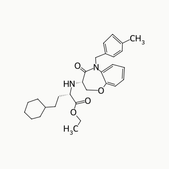 CCOC(=O)[C@H](CCC1CCCCC1)N[C@H]1COc2ccccc2N(Cc2ccc(C)cc2)C1=O